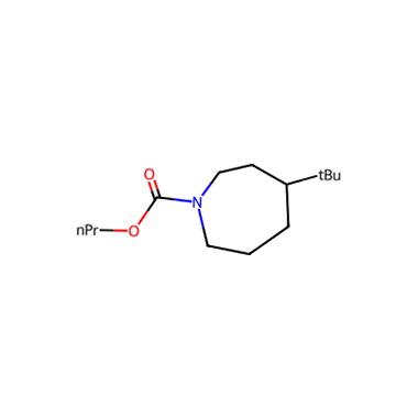 CCCOC(=O)N1CCCC(C(C)(C)C)CC1